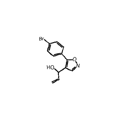 C=CC(O)c1cnoc1-c1ccc(Br)cc1